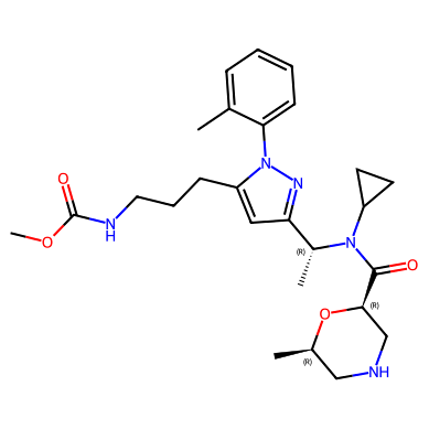 COC(=O)NCCCc1cc([C@@H](C)N(C(=O)[C@H]2CNC[C@@H](C)O2)C2CC2)nn1-c1ccccc1C